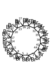 Br[C]1C(Br)(Br)C(Br)(Br)C(Br)(Br)C(Br)(Br)C(Br)(Br)C(Br)(Br)C(Br)(Br)C(Br)(Br)C(Br)(Br)C(Br)(Br)C(Br)(Br)C(Br)(Br)C(Br)(Br)C(Br)(Br)C1(Br)Br